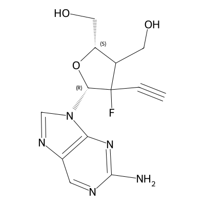 C#CC1(F)C(CO)[C@@H](CO)O[C@H]1n1cnc2cnc(N)nc21